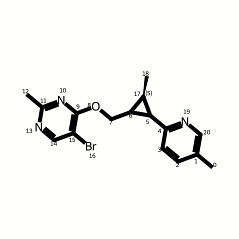 Cc1ccc(C2C(COc3nc(C)ncc3Br)[C@H]2C)nc1